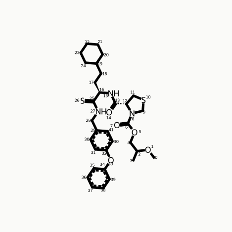 COC(C)COC(=O)N1CSC[C@H]1C(=O)N[C@H](CCC1CCCCC1)C(=S)NCc1ccc(Oc2ccccc2)cc1